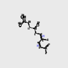 C=C(C)/C=C\C(C)=C/CC(=O)CCC(=O)O